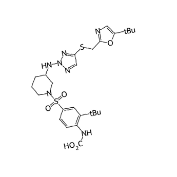 CC(C)(C)c1cnc(CSc2cnn(NC3CCCN(S(=O)(=O)c4ccc(NC(=O)O)c(C(C)(C)C)c4)C3)n2)o1